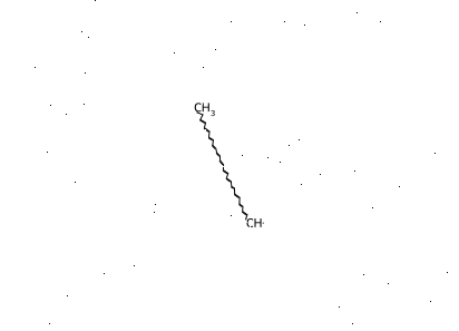 [CH]=CC=CC=CC=CC=CC=CC=CC=CC=CC=CC=CC=CC=CCCC